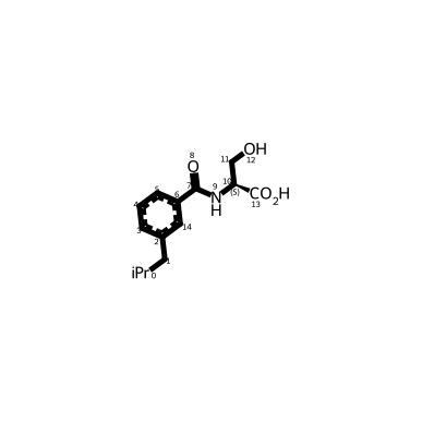 CC(C)Cc1cccc(C(=O)N[C@@H](CO)C(=O)O)c1